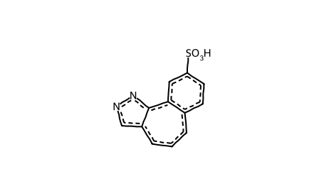 O=S(=O)(O)c1ccc2cccc3cnnc-3c2c1